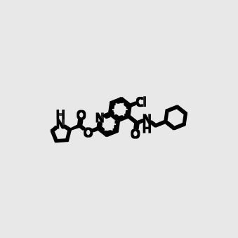 O=C(NCC1CCCCC1)c1c(Cl)ccc2nc(OC(=O)[C@H]3CCCN3)ccc12